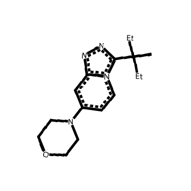 CCC(C)(CC)c1nnc2cc(N3CCOCC3)ccn12